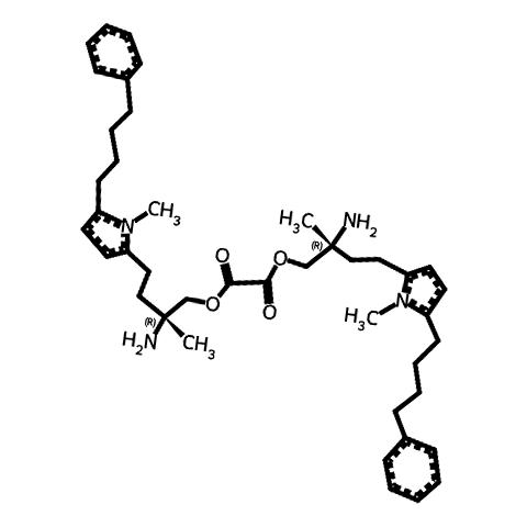 Cn1c(CCCCc2ccccc2)ccc1CC[C@@](C)(N)COC(=O)C(=O)OC[C@](C)(N)CCc1ccc(CCCCc2ccccc2)n1C